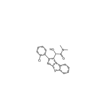 CN(C)C(=O)C(O)c1c(-c2ccccc2Cl)nc2sc3ccccc3n12